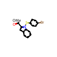 COC(=O)c1cc2ccccc2n1Sc1ccc(Br)cc1